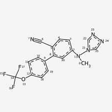 CN(c1ccc(C#N)c(-c2ccc(OC(F)(F)F)cc2)c1)n1cnnc1